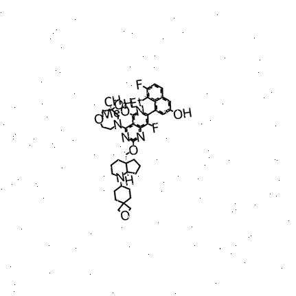 CCc1c(F)ccc2cc(O)cc(-c3nc(OC)c4c(N5CCOC[C@@](C)(O)C5)nc(OC[C@]56CCC[C@H]5N(C5CCC7(CC5)COC7)CCC6)nc4c3F)c12